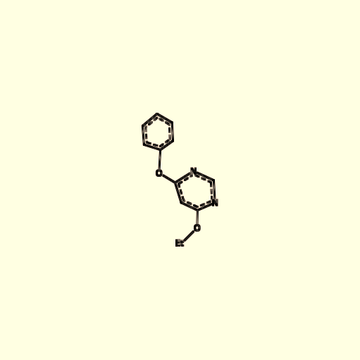 CCOc1cc(Oc2ccccc2)ncn1